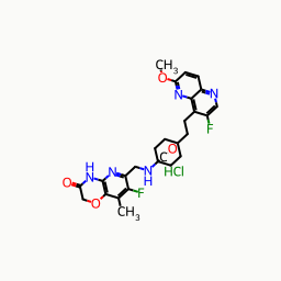 COc1ccc2ncc(F)c(CCC34CCC(NCc5nc6c(c(C)c5F)OCC(=O)N6)(CC3)CO4)c2n1.Cl